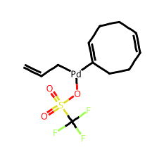 C=C[CH2][Pd]([O]S(=O)(=O)C(F)(F)F)[C]1=CCCC=CCC1